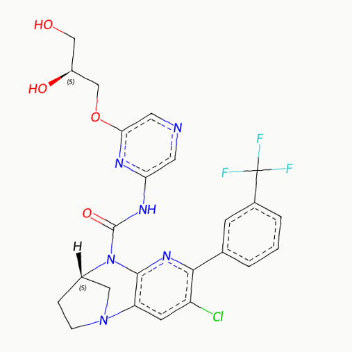 O=C(Nc1cncc(OC[C@@H](O)CO)n1)N1c2nc(-c3cccc(C(F)(F)F)c3)c(Cl)cc2N2CC[C@H]1C2